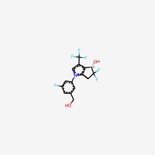 OCc1cc(F)cc(-n2cc(C(F)(F)F)c3c2CC(F)(F)[C@H]3O)c1